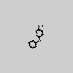 Nc1ccc(Oc2ccccn2)cn1